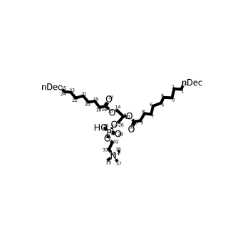 CCCCCCCCCCCCCCCCCCCC(=O)OC(COC(=O)CCCCCCCCCCCCCCCCC)COP(=O)(O)OCC[N+](C)(C)C